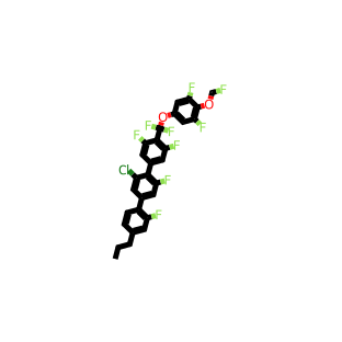 CCCc1ccc(-c2cc(F)c(-c3cc(F)c(C(F)(F)Oc4cc(F)c(OCF)c(F)c4)c(F)c3)c(Cl)c2)c(F)c1